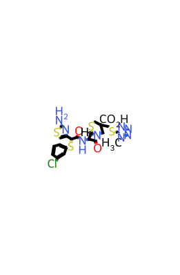 Cn1nnnc1SCC1(C(=O)O)CS[C@@H]2C(NC(=O)C(Sc3cccc(Cl)c3)c3csc(N)n3)C(=O)N2C1